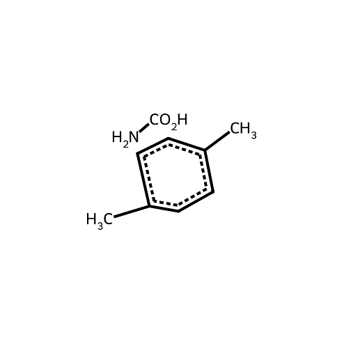 Cc1ccc(C)cc1.NC(=O)O